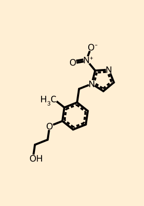 Cc1c(Cn2ccnc2[N+](=O)[O-])cccc1OCCO